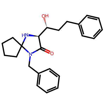 O=C1[C@H]([C@H](O)CCc2ccccc2)NC2(CCCC2)N1Cc1ccccc1